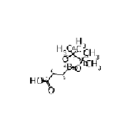 CC1(C)OB(CCC(=O)O)OC1(C)C